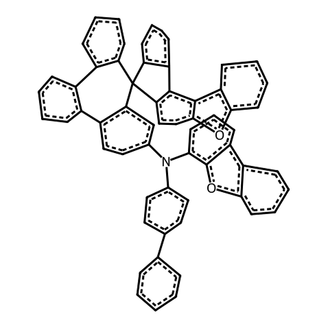 c1ccc(-c2ccc(N(c3ccc4c(c3)C3(c5ccccc5-c5ccccc5-4)c4ccccc4-c4c3ccc3oc5ccccc5c43)c3cccc4c3oc3ccccc34)cc2)cc1